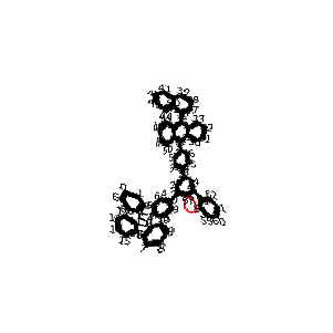 c1ccc([Si](c2ccccc2)(c2ccccc2)c2ccc(-c3cc(-c4ccc(-c5c6ccccc6c(-c6cccc7ccccc67)c6ccccc56)cc4)cc4c3oc3ccccc34)cc2)cc1